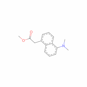 COC(=O)Cc1cccc2c(N(C)C)cccc12